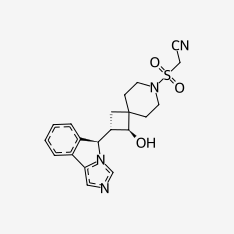 N#CCS(=O)(=O)N1CCC2(CC1)C[C@@H]([C@@H]1c3ccccc3-c3cncn31)[C@@H]2O